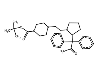 CC(C)(C)OC(=O)N1CCN(CCN2CCCC2C(C(N)=O)(c2ccccc2)c2ccccc2)CC1